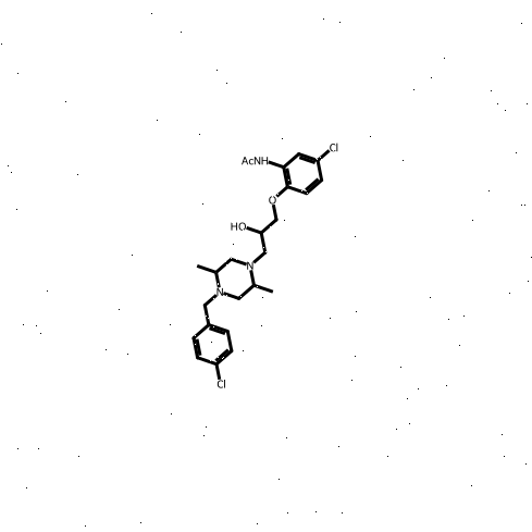 CC(=O)Nc1cc(Cl)ccc1OCC(O)CN1CC(C)N(Cc2ccc(Cl)cc2)CC1C